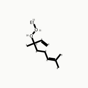 C=CC(C)(CCC=C(C)C)OOCC